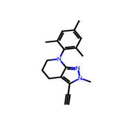 C#Cc1c2c(nn1C)N(c1c(C)cc(C)cc1C)CCC2